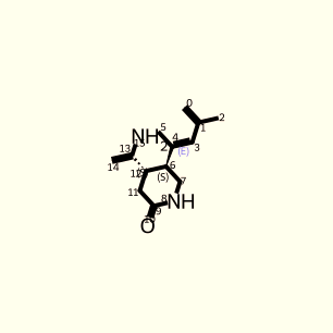 C=C(C)/C=C(\C)[C@H]1CNC(=O)C[C@@H]1C(=C)N